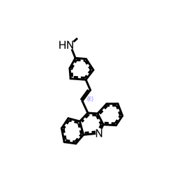 CNc1ccc(/C=C/c2c3ccccc3nc3ccccc23)cc1